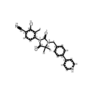 Cc1c(N2C(=O)N(Cc3ccc(-c4ccncc4)cc3)C(C)(C)C2=O)ccc(C#N)c1Cl